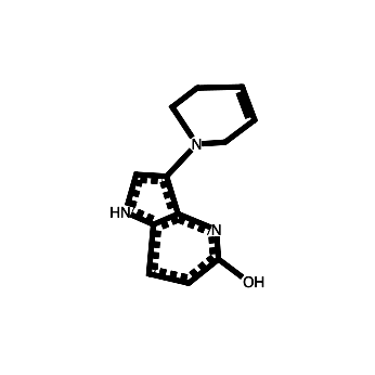 Oc1ccc2[nH]cc(N3CC=CCC3)c2n1